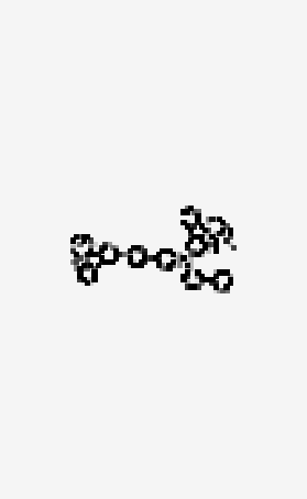 C[C@@H]1CC2CC[C@]3(c4ccccc4-c4cc(N(c5ccc(-c6ccc(-c7ccc8c(c7)-c7ccccc7[C@]87CC8CC(C8)C[C@@H]7C)cc6)cc5)c5cccc(-c6ccccc6)c5)ccc43)[C@@H](C2)C1